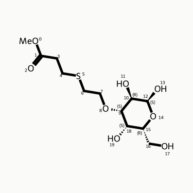 COC(=O)CCSCCO[C@@H]1[C@@H](O)[C@@H](O)O[C@H](CO)[C@@H]1O